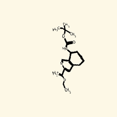 C=C(OCC)c1cc2c(cn1)C(NC(=O)OC(C)(C)C)CCCC2